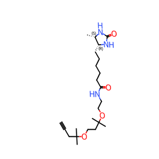 C#CCC(C)(C)OCCC(C)(C)OCCNC(=O)CCCCC[C@H]1NC(=O)N[C@H]1C